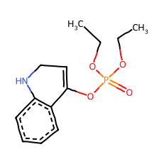 CCOP(=O)(OCC)OC1=CCNc2ccccc21